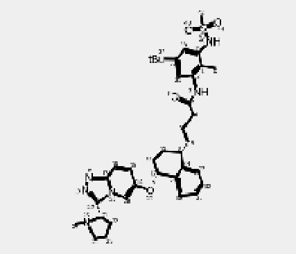 Cc1c(NC(=O)CCC[C@H]2CC[C@@H](Oc3ccc4nnc([C@@H]5CCCN5C)n4c3)c3ccccc32)cc(C(C)(C)C)cc1NS(C)(=O)=O